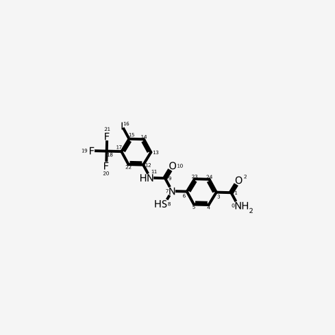 NC(=O)c1ccc(N(S)C(=O)Nc2ccc(I)c(C(F)(F)F)c2)cc1